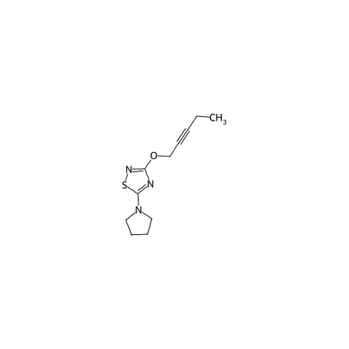 CCC#CCOc1nsc(N2CCCC2)n1